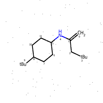 C=C(CC(C)(C)C)NC1CCC(C(C)(C)C)CC1